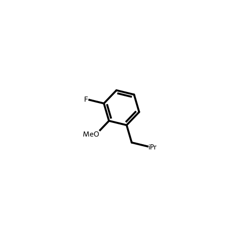 COc1c(F)cccc1CC(C)C